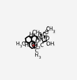 COCP(=O)(NC(C)C(=O)O)O[C@@H]1O[C@@H]2O[C@@]3(C)CC[C@H]4[C@H](C)CC[C@@H]([C@H]1C)[C@@]24OO3